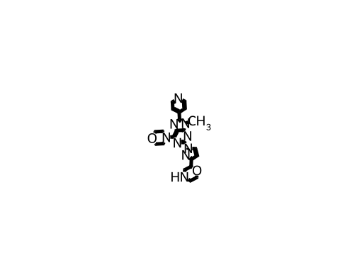 Cn1c(-c2ccncc2)nc2c(N3CCOCC3)nc(-n3ccc(C4CNCCO4)n3)nc21